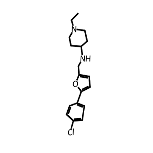 CCN1CCC(NCc2ccc(-c3ccc(Cl)cc3)o2)CC1